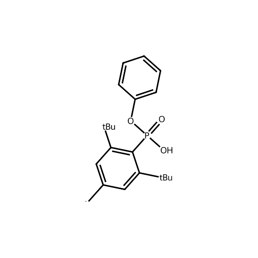 [CH2]c1cc(C(C)(C)C)c(P(=O)(O)Oc2ccccc2)c(C(C)(C)C)c1